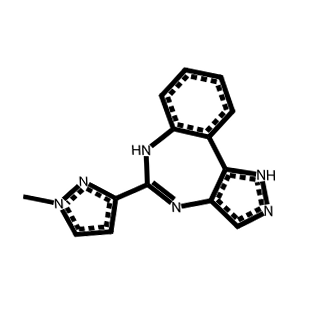 Cn1ccc(C2=Nc3cn[nH]c3-c3ccccc3N2)n1